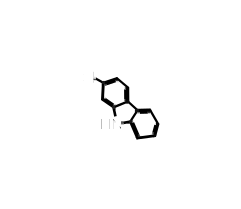 Clc1ccc2c(c1)[nH]c1ccccc12